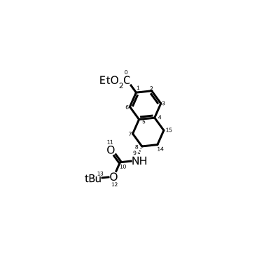 CCOC(=O)c1ccc2c(c1)C[C@@H](NC(=O)OC(C)(C)C)CC2